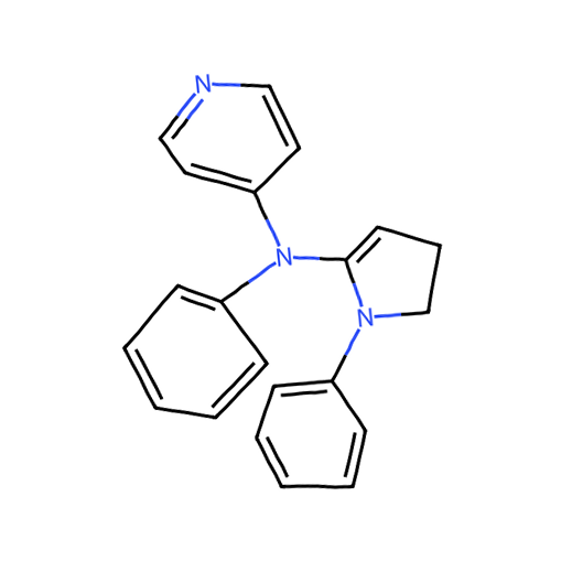 C1=C(N(c2ccccc2)c2ccncc2)N(c2ccccc2)CC1